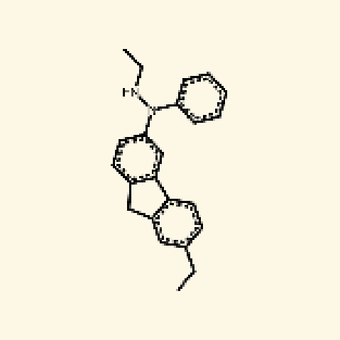 CCNN(c1ccccc1)c1ccc2c(c1)-c1ccc(CC)cc1C2